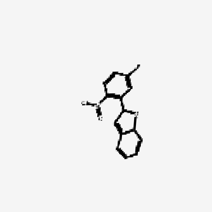 O=[N+]([O-])c1ccc(F)cc1C1C=C2C=CC=CC2O1